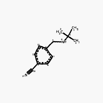 CC(C)(C)NCc1ccc(C#N)cc1